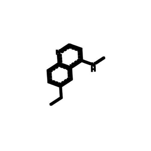 CCc1ccc2nccc(NC)c2c1